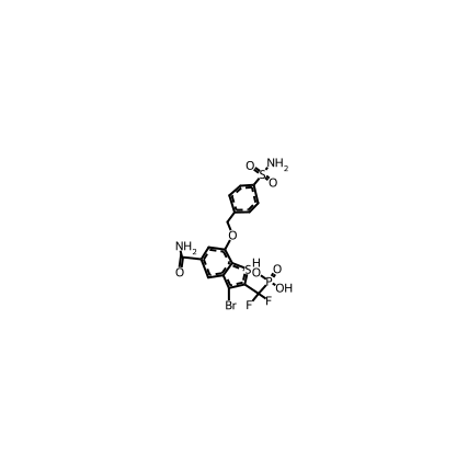 NC(=O)c1cc(OCc2ccc(S(N)(=O)=O)cc2)c2sc(C(F)(F)P(=O)(O)O)c(Br)c2c1